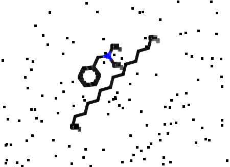 CCCCCCCCCCCCCC.CN(C)Cc1ccccc1